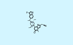 CC[C@H]1CN(C(C)c2ccn3ncc(F)c3c2)[C@H](CC)CN1c1cc(=O)n(C)c2cn(CC#N)nc12